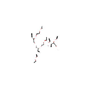 C=CC(COCC(C=C)OCCOCC)OCCOCC.C=COC.C=COC(C=C)COC.C=COC=C